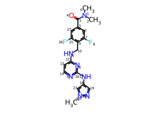 CN(C)C(=O)c1cc(F)c(CNc2ccnc(Nc3cnn(C)c3)n2)c(F)c1